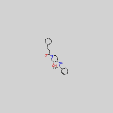 CC(C)C(NC1CCN(C(=O)CCc2ccccc2)CC1O)c1ccccc1